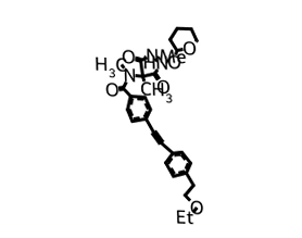 CCOCCc1ccc(C#Cc2ccc(C(=O)N(C)C(C)(C(=O)NC)C(=O)NOC3CCCCO3)cc2)cc1